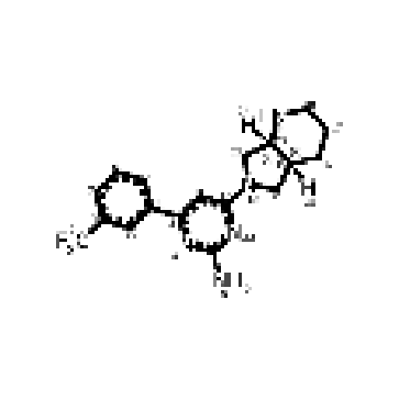 Nc1nc(-c2cccc(C(F)(F)F)c2)cc(N2C[C@H]3CCCN[C@H]3C2)n1